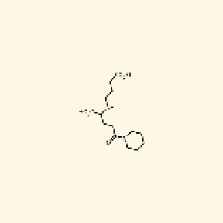 CCOC(=O)CCCNC(CCC(=O)N1CCCCC1)C(=O)O